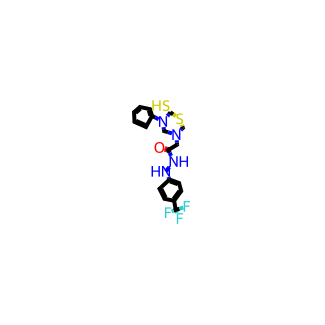 O=C(CN1CSC(S)N(c2ccccc2)C1)NNc1ccc(C(F)(F)F)cc1